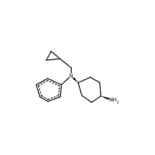 N[C@H]1CC[C@@H](N(CC2CC2)c2ccccc2)CC1